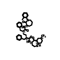 Cc1ccccc1N1CCCC[C@H](NC(=O)[C@H](CC[C@H](Cc2ccccc2)C(=O)N[C@H]2CCS[C@H]3CC[C@H](C(F)(F)F)CN3C2=O)Cc2ccccc2)C1=O